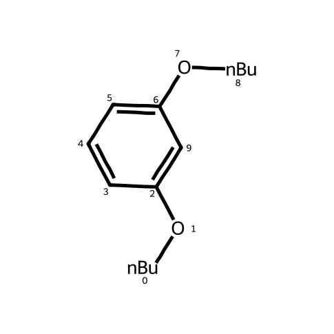 CCCCOc1cccc(OCCCC)c1